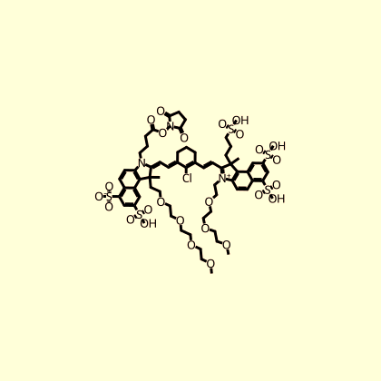 COCCOCCOCCOCCC1(C)/C(=C\C=C2/CCCC(/C=C/C3=[N+](CCOCCOCCOC)c4ccc5c(S(=O)(=O)O)cc(S(=O)(=O)O)cc5c4C3(C)CCCS(=O)(=O)O)=C2Cl)N(CCCC(=O)ON2C(=O)CCC2=O)c2ccc3c(S(=O)(=O)[O-])cc(S(=O)(=O)O)cc3c21